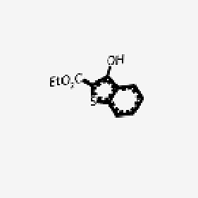 CCOC(=O)c1sc2ccccc2c1O